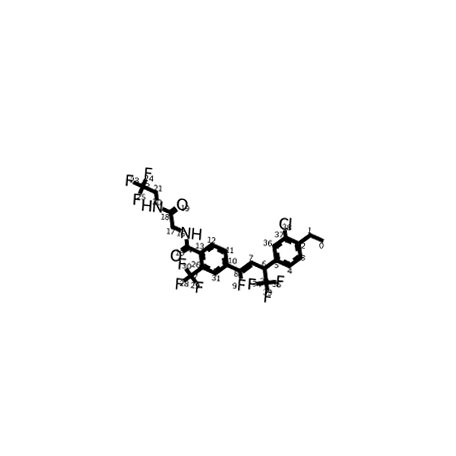 CCc1ccc(C(/C=C(\F)c2ccc(C(=O)NCC(=O)NCC(F)(F)F)c(C(F)(F)F)c2)C(F)(F)F)cc1Cl